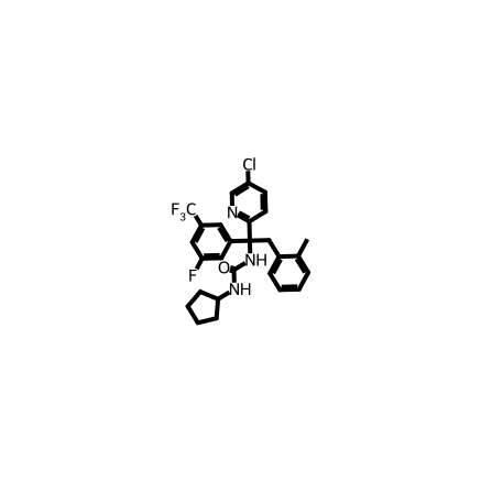 Cc1ccccc1CC(NC(=O)NC1CCCC1)(c1cc(F)cc(C(F)(F)F)c1)c1ccc(Cl)cn1